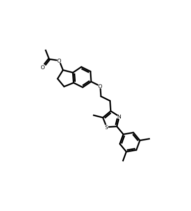 CC(=O)OC1CCc2cc(OCCc3nc(-c4cc(C)cc(C)c4)sc3C)ccc21